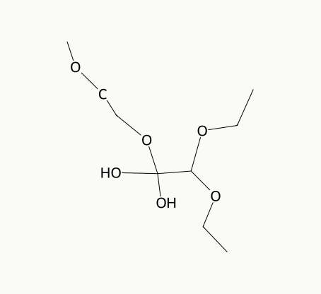 CCOC(OCC)C(O)(O)OCCOC